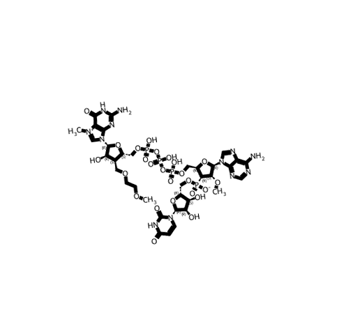 COCCOC[C@H]1[C@@H](O)[C@H](n2c[n+](C)c3c(=O)[nH]c(N)nc32)O[C@@H]1COP(=O)(O)OP(=O)(O)OP(=O)(O)OC[C@H]1O[C@@H](n2cnc3c(N)ncnc32)[C@H](OC)[C@@H]1P(=O)([O-])OC[C@H]1O[C@@H](n2ccc(=O)[nH]c2=O)[C@H](O)[C@@H]1O